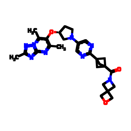 Cc1nc2nc(C)c(O[C@@H]3CCN(c4cnc(C56CC(C(=O)N7CC8(COC8)C7)(C5)C6)nc4)C3)c(C)n2n1